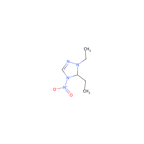 CCC1N(CC)N=CN1[N+](=O)[O-]